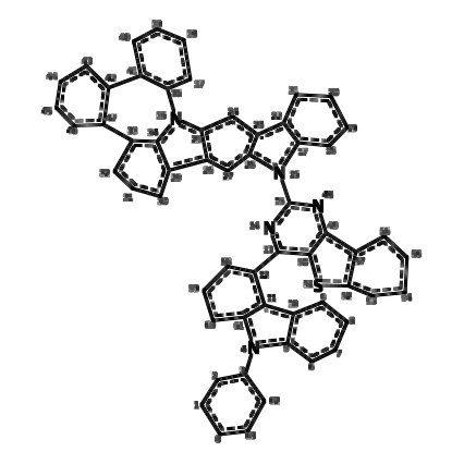 c1ccc(-n2c3ccccc3c3c(-c4nc(-n5c6ccccc6c6cc7c(cc65)c5cccc6c5n7-c5ccccc5-c5ccccc5-6)nc5c4sc4ccccc45)cccc32)cc1